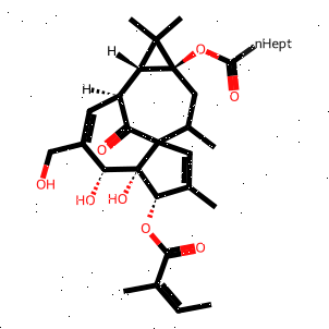 C/C=C(/C)C(=O)O[C@H]1C(C)=CC23C(=O)[C@@H](C=C(CO)[C@@H](O)[C@]12O)[C@@H]1C(C)(C)[C@]1(OC(=O)CCCCCCC)CC3C